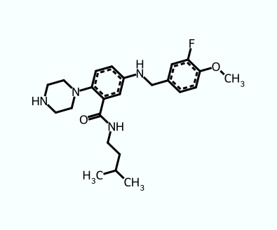 COc1ccc(CNc2ccc(N3CCNCC3)c(C(=O)NCCC(C)C)c2)cc1F